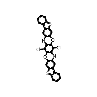 Clc1c2c(c(Cl)c3c1=Nc1cc4c(cc1O3)sc1ccccc14)=Nc1cc3c(cc1O2)sc1ccccc13